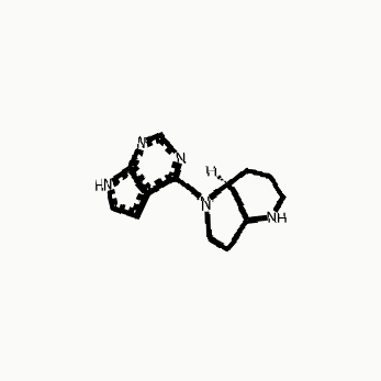 c1nc(N2CCC3NCCC[C@@H]32)c2cc[nH]c2n1